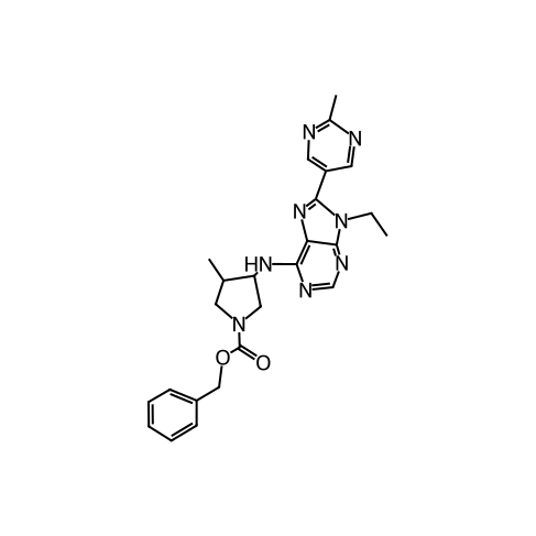 CCn1c(-c2cnc(C)nc2)nc2c(NC3CN(C(=O)OCc4ccccc4)CC3C)ncnc21